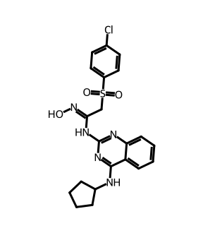 O=S(=O)(C/C(=N/O)Nc1nc(NC2CCCC2)c2ccccc2n1)c1ccc(Cl)cc1